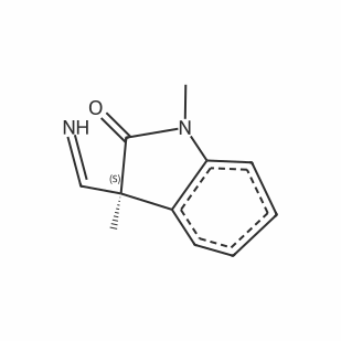 CN1C(=O)[C@](C)(C=N)c2ccccc21